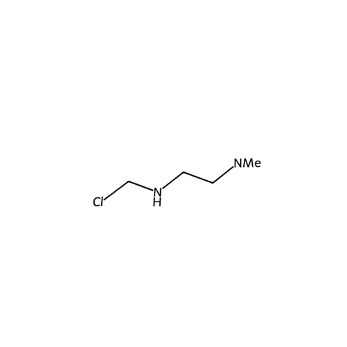 CNCCNCCl